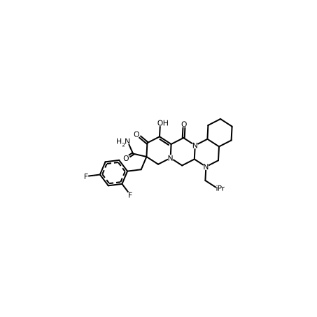 CC(C)CN1CC2CCCCC2N2C(=O)C3=C(O)C(=O)C(Cc4ccc(F)cc4F)(C(N)=O)CN3CC12